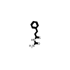 NC(=O)NC(=S)[CH]Cc1ccccc1